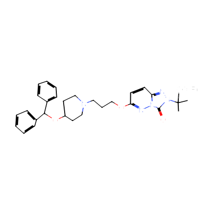 CCOC(=O)C(C)(C)n1nc2ccc(OCCCN3CCC(OC(c4ccccc4)c4ccccc4)CC3)nn2c1=O